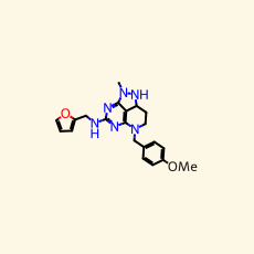 COc1ccc(CN2CCC3NN(C)c4nc(NCc5ccco5)nc2c43)cc1